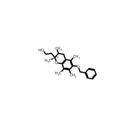 Cc1c(C)c2c(c(C)c1OCc1ccccc1)CC(C)[C@@](C)(CCO)O2